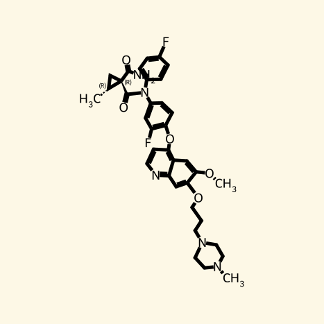 COc1cc2c(Oc3ccc(N(C(=O)[C@]4(C(N)=O)C[C@H]4C)c4ccc(F)cc4)cc3F)ccnc2cc1OCCCN1CCN(C)CC1